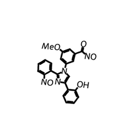 COc1cc(C(=O)N=O)cc(-n2cc(-c3ccccc3O)nc2-c2ccccc2N=O)c1